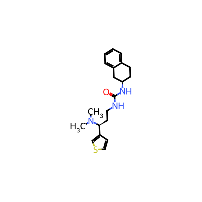 CN(C)[C@@H](CCNC(=O)N[C@@H]1CCc2ccccc2C1)c1ccsc1